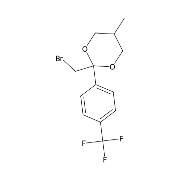 CC1COC(CBr)(c2ccc(C(F)(F)F)cc2)OC1